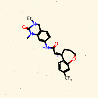 CCN1Cc2ccc(NC(=O)/C=C3\CCCOc4cc(C(F)(F)F)ccc43)cc2N(C)C1=O